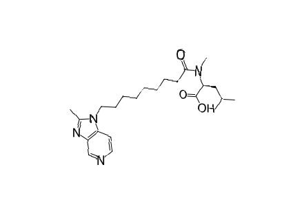 Cc1nc2cnccc2n1CCCCCCCCC(=O)N(C)[C@@H](CC(C)C)C(=O)O